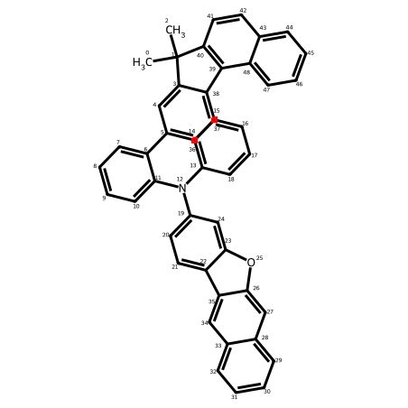 CC1(C)c2cc(-c3ccccc3N(c3ccccc3)c3ccc4c(c3)oc3cc5ccccc5cc34)ccc2-c2c1ccc1ccccc21